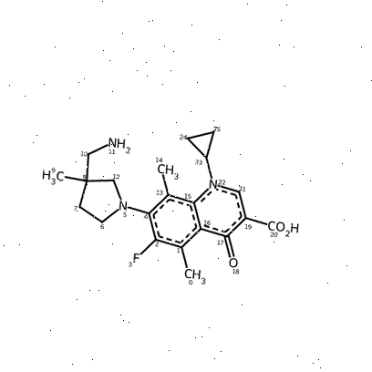 Cc1c(F)c(N2CCC(C)(CN)C2)c(C)c2c1c(=O)c(C(=O)O)cn2C1CC1